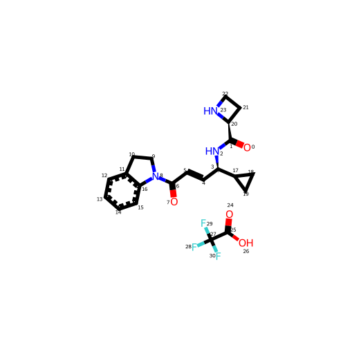 O=C(N[C@H](/C=C/C(=O)N1CCc2ccccc21)C1CC1)[C@@H]1CCN1.O=C(O)C(F)(F)F